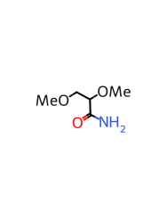 COCC(OC)C(N)=O